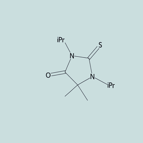 CC(C)N1C(=O)C(C)(C)N(C(C)C)C1=S